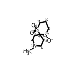 CN1CCC2(CC1)[S+]([O-])CCCS2(=O)=O